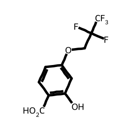 O=C(O)c1ccc(OCC(F)(F)C(F)(F)F)cc1O